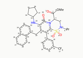 COC(=O)C1CN(C(C)C)S(=O)(=O)c2c(-c3cccc(C(F)(F)F)c3)c(Cc3cccc4ccccc34)c(NC3CCCC3)c(=O)n21